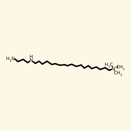 C[N+](C)(C)CCCCCCCCCCCCCCCCCCCNCCC[SiH3]